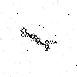 COc1ccccc1C#Cc1ccc(-c2ccc(C#Cc3ccccc3OC)cc2)cc1